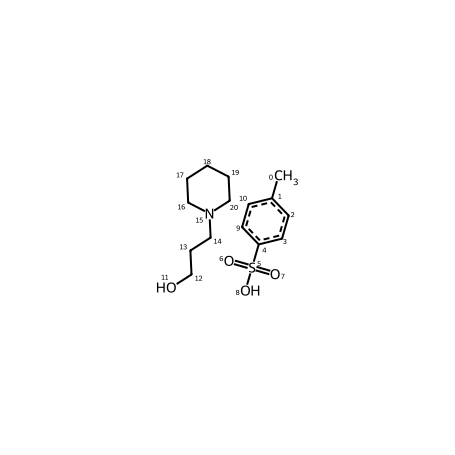 Cc1ccc(S(=O)(=O)O)cc1.OCCCN1CCCCC1